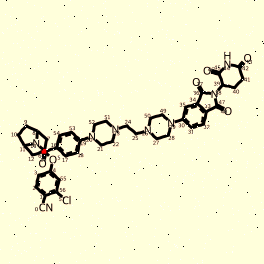 N#Cc1ccc(OC2CC3CCC(C2)N3C(=O)c2ccc(N3CCN(CCN4CCN(c5ccc6c(c5)C(=O)N(C5CCC(=O)NC5=O)C6=O)CC4)CC3)cc2)cc1Cl